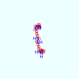 CC(NC(=O)CCOCCOCCOCCNC(=O)C#CC(=O)NCCOCCOCCOCCC(=O)NC(C)C(=O)NC(C)C(=O)ON1C(=O)CCC1=O)C(=O)NC(C)C(=O)ON1C(=O)CCC1=O